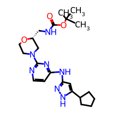 CC(C)(C)OC(=O)NC[C@@H]1CN(c2nccc(Nc3cc(C4CCCC4)[nH]n3)n2)CCO1